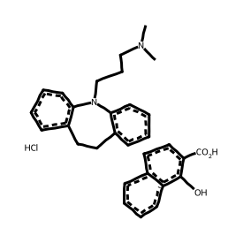 CN(C)CCCN1c2ccccc2CCc2ccccc21.Cl.O=C(O)c1ccc2ccccc2c1O